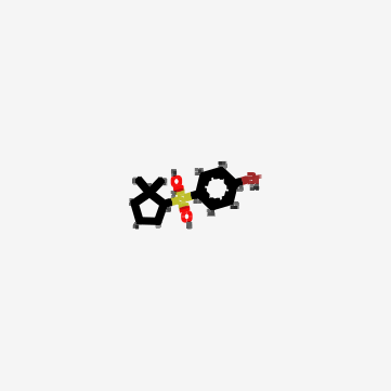 CC1(C)CCCC1S(=O)(=O)c1ccc(Br)cc1